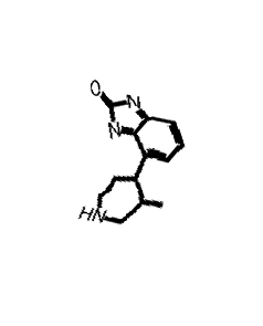 CC1CNCCC1c1cccc2c1=NC(=O)N=2